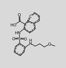 COCCCNc1ccccc1S(=O)(=O)Nc1ccc2ccccc2c1C(=O)O